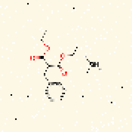 CCOC(=O)C(Cc1ccccc1)C(=O)OCC.C[SiH2]C